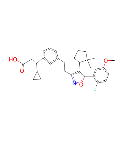 COc1ccc(F)c(-c2onc(CCc3cccc([C@@H](CC(=O)O)C4CC4)c3)c2C2CCCC2(C)C)c1